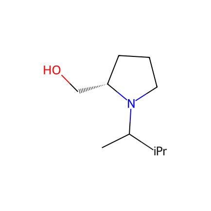 CC(C)C(C)N1CCC[C@H]1CO